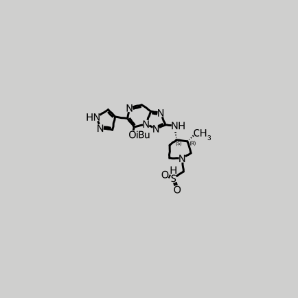 CC(C)COc1c(-c2cn[nH]c2)ncc2nc(N[C@H]3CCN(C[SH](=O)=O)C[C@H]3C)nn12